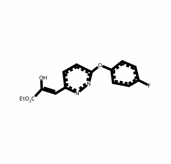 CCOC(=O)C(O)=Cc1ccc(Oc2ccc(F)cc2)nn1